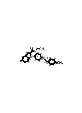 CCN(C(=O)c1cc2cc(F)ccc2[nH]1)[C@H]1CCC[C@@H](NCc2ccc(C)cc2)C1